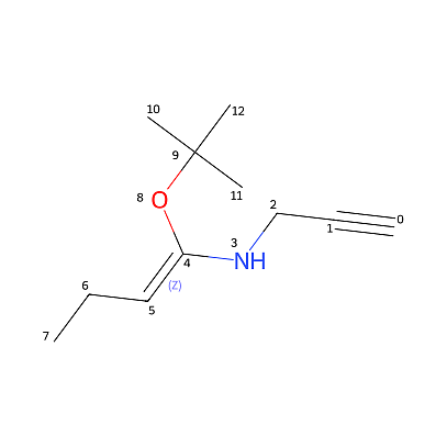 C#CCN/C(=C/CC)OC(C)(C)C